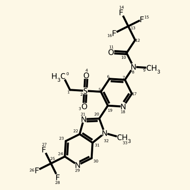 CCS(=O)(=O)c1cc(N(C)C(=O)CC(F)(F)F)cnc1-c1nc2cc(C(F)(F)F)ncc2n1C